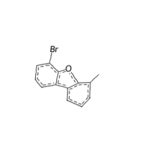 Cc1cccc2c1oc1c(Br)cccc12